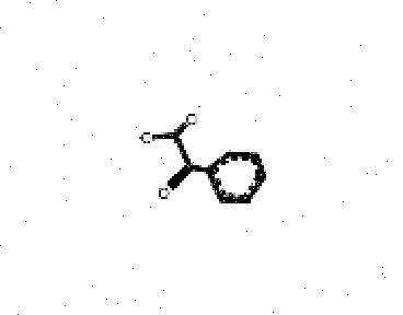 [O]C(Cl)C(=O)c1ccccc1